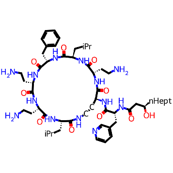 CCCCCCC[C@@H](O)CC(=O)N[C@H](Cc1cccnc1)C(=O)N[C@H]1CCNC(=O)[C@H](CC(C)C)NC(=O)[C@H](CCN)NC(=O)[C@H](CCN)NC(=O)[C@H](Cc2ccccc2)NC(=O)[C@@H](CC(C)C)NC(=O)[C@H](CCN)NC1=O